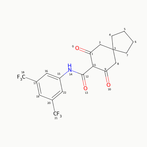 O=C1CC2(CCCC2)CC(=O)C1C(=O)Nc1cc(C(F)(F)F)cc(C(F)(F)F)c1